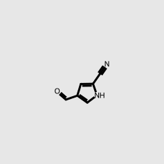 N#Cc1cc(C=O)c[nH]1